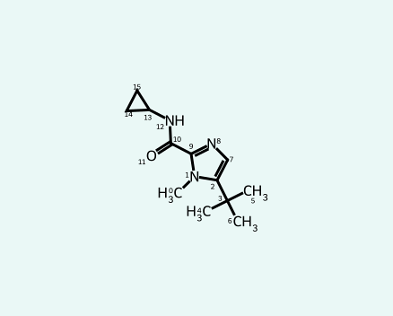 Cn1c(C(C)(C)C)cnc1C(=O)NC1CC1